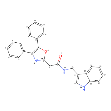 O=C(Cc1nc(-c2ccccc2)c(-c2ccccc2)o1)NCc1c[nH]c2ccccc12